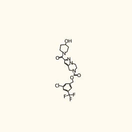 O=C(OCc1cc(Cl)cc(C(F)(F)F)c1)N1CCn2nc(C(=O)N3CCC(O)CC3)cc2C1